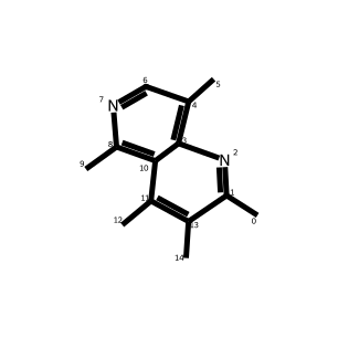 Cc1nc2c(C)cnc(C)c2c(C)c1C